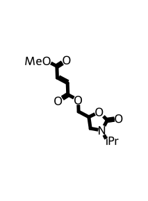 COC(=O)/C=C/C(=O)OCC1CN(C(C)C)C(=O)O1